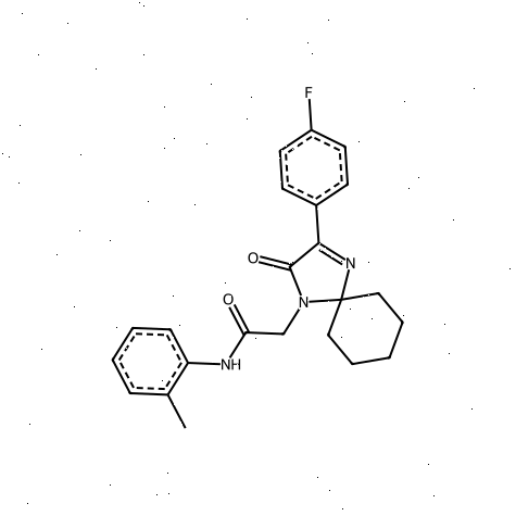 Cc1ccccc1NC(=O)CN1C(=O)C(c2ccc(F)cc2)=NC12CCCCC2